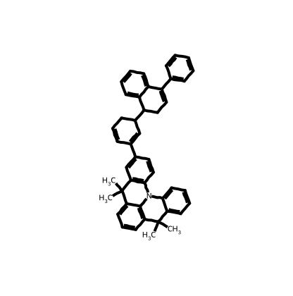 CC1(C)c2ccccc2N2c3ccc(C4=CC(C5CC=C(c6ccccc6)c6ccccc65)CC=C4)cc3C(C)(C)c3cccc1c32